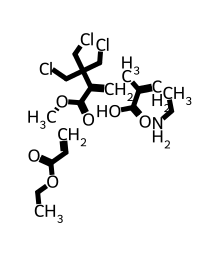 C=C(C(=O)OC)C(CCl)(CCl)CCl.C=C(C)C(=O)O.C=CC(=O)OCC.CCN